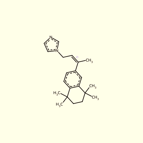 C/C(=C/Cn1ccnc1)c1ccc2c(c1)C(C)(C)CCC2(C)C